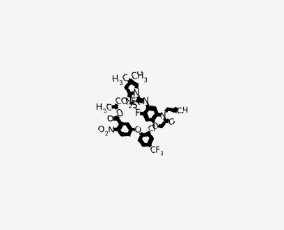 C#CCN1C(=O)COc2cc(F)c(/N=c3\snc4n3CC(C)(C)C4)cc21.CCOC(=O)C(C)OC(=O)c1cc(Oc2ccc(C(F)(F)F)cc2Cl)ccc1[N+](=O)[O-]